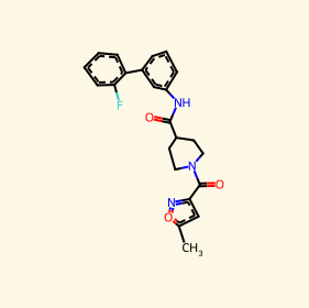 Cc1cc(C(=O)N2CCC(C(=O)Nc3cccc(-c4ccccc4F)c3)CC2)no1